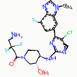 CC(C)(C)n1cnc2c(F)cc(-c3nc(N[C@@H]4CCN(C(=O)C(F)(F)CN)C[C@H]4O)ncc3Cl)cc21